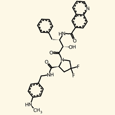 CNc1ccc(CNC(=O)[C@@H]2CC(F)(F)CN2C(=O)[C@@H](O)[C@H](Cc2ccccc2)NC(=O)c2ccc3ncccc3c2)cc1